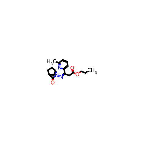 CCCOC(=O)C/C(=N/N1C(=O)C2CCC1C2)c1cccc(C)n1